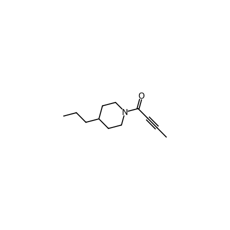 CC#CC(=O)N1CCC(CCC)CC1